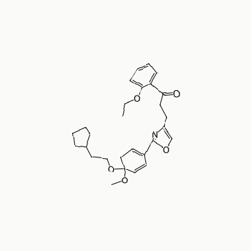 CCOc1ccccc1C(=O)CCc1coc(C2=CCC(OC)(OCCC3CCCC3)C=C2)n1